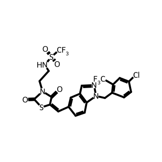 O=C1SC(=Cc2ccc3c(cnn3Cc3ccc(Cl)cc3C(F)(F)F)c2)C(=O)N1CCNS(=O)(=O)C(F)(F)F